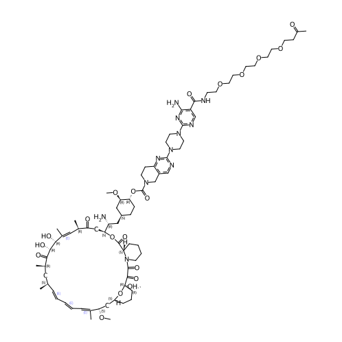 CO[C@H]1C[C@@H]2CC[C@@H](C)[C@@](O)(O2)C(=O)C(=O)N2CCCC[C@H]2C(=O)O[C@H]([C@H](N)C[C@@H]2CC[C@@H](OC(=O)N3CCc4nc(N5CCN(c6ncc(C(=O)NCCOCCOCCOCCOCCC(C)=O)c(N)n6)CC5)ncc4C3)[C@H](OC)C2)CC(=O)[C@H](C)/C=C(\C)[C@@H](O)[C@@H](O)C(=O)[C@H](C)C[C@H](C)/C=C/C=C/C=C/1C